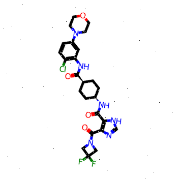 O=C(N[C@H]1CC[C@H](C(=O)Nc2cc(N3CCOCC3)ccc2Cl)CC1)c1[nH]cnc1C(=O)N1CC(F)(F)C1